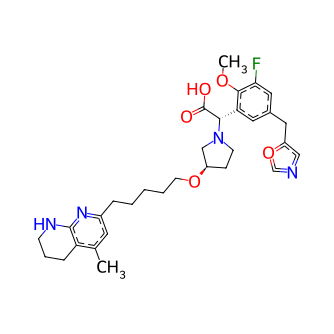 COc1c(F)cc(Cc2cnco2)cc1[C@@H](C(=O)O)N1CC[C@@H](OCCCCCc2cc(C)c3c(n2)NCCC3)C1